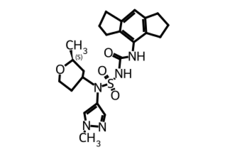 C[C@H]1CC(N(c2cnn(C)c2)S(=O)(=O)NC(=O)Nc2c3c(cc4c2CCC4)CCC3)CCO1